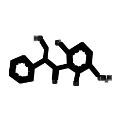 O=C(O)c1ccc(Cl)c(C(=O)C(CO)c2ccccc2)c1Cl